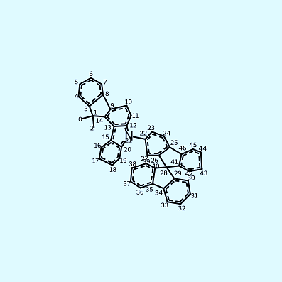 CC1(C)c2ccccc2-c2ccc3c(c21)c1ccccc1n3-c1ccc2c(c1)C1(c3ccccc3-c3ccccc31)c1ccccc1-2